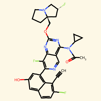 C#Cc1c(F)ccc2cc(O)cc(-c3ncc4c(N(C(C)=O)C5CC5)nc(OC[C@@]56CCCN5C[C@H](F)C6)nc4c3F)c12